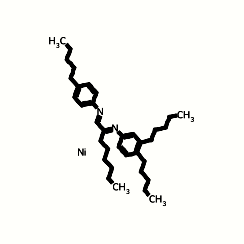 CCCCCCC(C=Nc1ccc(CCCCC)cc1)=Nc1ccc(CCCCC)c(CCCCC)c1.[Ni]